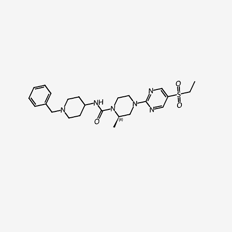 CCS(=O)(=O)c1cnc(N2CCN(C(=O)NC3CCN(Cc4ccccc4)CC3)[C@H](C)C2)nc1